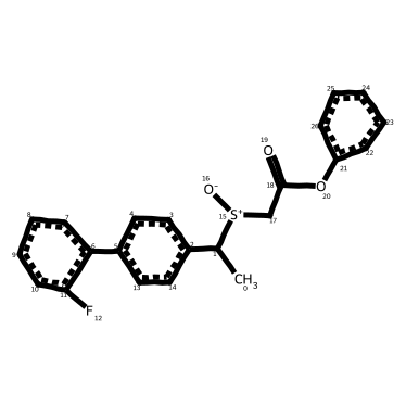 CC(c1ccc(-c2ccccc2F)cc1)[S+]([O-])CC(=O)Oc1ccccc1